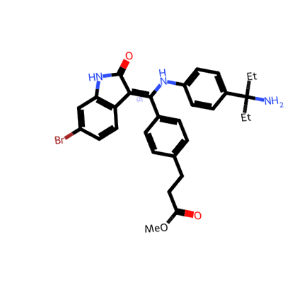 CCC(N)(CC)c1ccc(N/C(=C2\C(=O)Nc3cc(Br)ccc32)c2ccc(CCC(=O)OC)cc2)cc1